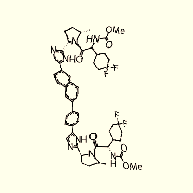 COC(=O)N[C@H](C(=O)N1[C@@H](C)CC[C@H]1c1ncc(-c2ccc(-c3ccc4cc(-c5cnc([C@@H]6CC[C@H](C)N6C(=O)[C@@H](NC(=O)OC)C6CCC(F)(F)CC6)[nH]5)ccc4c3)cc2)[nH]1)C1CCC(F)(F)CC1